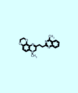 Cc1nc(CCC2=Nc3c(ccc4c3OCCO4)N(C)C2)nc2ccccc12